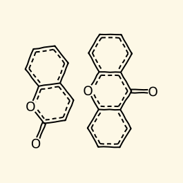 O=c1c2ccccc2oc2ccccc12.O=c1ccc2ccccc2o1